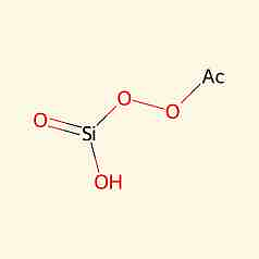 CC(=O)OO[Si](=O)O